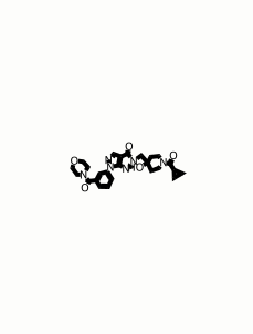 O=C(c1cccc(-n2ncc3c(=O)n(CC4(O)CCN(C(=O)C5CC5)CC4)cnc32)c1)N1CCOCC1